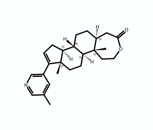 Cc1cncc(C2=CC[C@H]3[C@@H]4CC[C@H]5CC(=O)OCC[C@]5(C)[C@H]4CC[C@]23C)c1